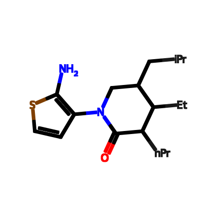 CCCC1C(=O)N(c2ccsc2N)CC(CC(C)C)C1CC